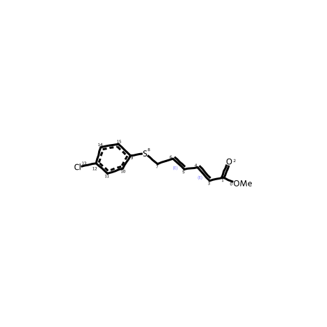 COC(=O)/C=C/C=C/CSc1ccc(Cl)cc1